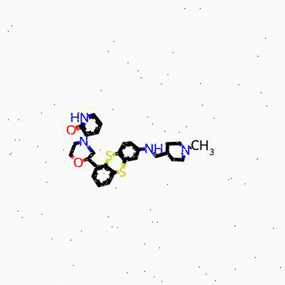 CN1CCC(CNc2ccc3c(c2)Sc2cccc(C4CN(c5ccc[nH]c5=O)CCO4)c2S3)CC1